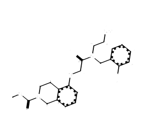 CCNC(=O)N1CCc2c(cccc2NCC(=O)N(CCNC)Cc2ccccc2C(F)(F)F)C1